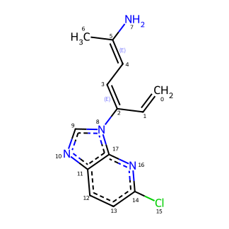 C=C/C(=C\C=C(/C)N)n1cnc2ccc(Cl)nc21